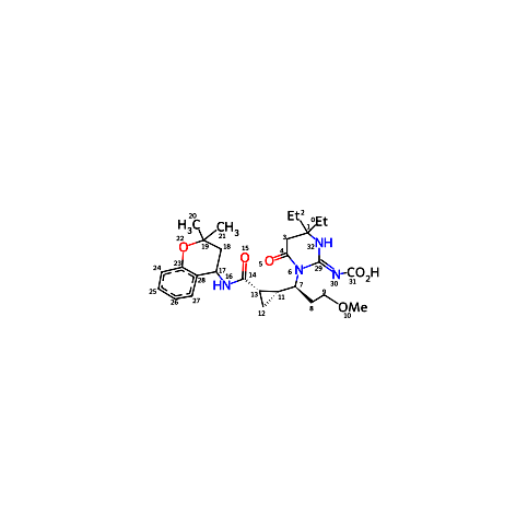 CCC1(CC)CC(=O)N([C@@H](CCOC)[C@@H]2C[C@@H]2C(=O)NC2CC(C)(C)Oc3ccccc32)C(=NC(=O)O)N1